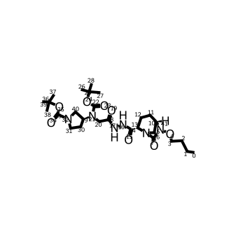 CCCCON1C(=O)N2C[C@@H]1CC[C@H]2C(=O)NNC(=O)CN(C(=O)OC(C)(C)C)[C@H]1CCN(C(=O)OC(C)(C)C)C1